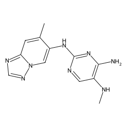 CNc1cnc(Nc2cn3ncnc3cc2C)nc1N